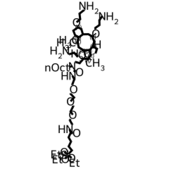 CCCCCCCCN(CCC[C@@H](C)[C@H]1CC[C@H]2C[C@H](OCCCN)CC3C[C@H](OCCCN)CC[C@]3(C)[C@H](C)C[C@H](OCCCN)[C@@]21C)C(=O)NCCOCCOCCOCCNC(=O)CCCC[Si](OCC)(OCC)OCC